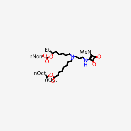 CCCCCCCCCOC(=O)OC(CC)CCCCCN(CCCCCCCC(=O)OC(CCCCCCCC)CCCCCCCC)CCCNc1c(NC)c(=O)c1=O